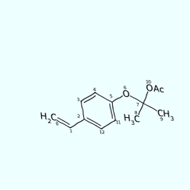 C=Cc1ccc(OC(C)(C)OC(C)=O)cc1